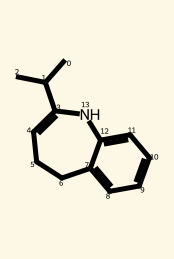 CC(C)C1=CCCc2ccccc2N1